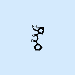 NCc1ccccc1C(=O)CC(=O)c1ccccc1